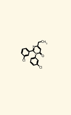 CCc1cc(=O)n(-c2cccc(Cl)c2)c(-c2cccc(Cl)c2)n1